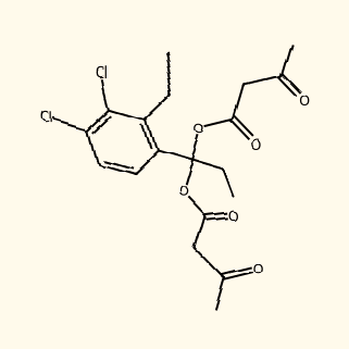 CCc1c(C(CC)(OC(=O)CC(C)=O)OC(=O)CC(C)=O)ccc(Cl)c1Cl